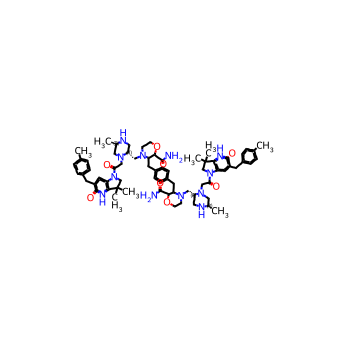 Cc1ccc(Cc2cc3c([nH]c2=O)C(C)(C)CN3C(=O)CN2C[C@@H](C)NC[C@@H]2CN2CCOC(C(N)=O)C2Cc2ccc(CC3C(C(N)=O)OCCN3C[C@H]3CN[C@H](C)CN3CC(=O)N3CC(C)(C)c4[nH]c(=O)c(Cc5ccc(C)cc5)cc43)cc2)cc1